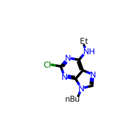 CCCCn1cnc2c(NCC)nc(Cl)nc21